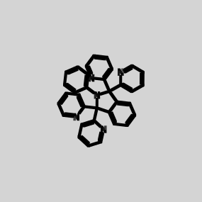 c1ccc(N2C(c3ccccn3)(c3ccccn3)c3ccccc3C2(c2ccccn2)c2ccccn2)cc1